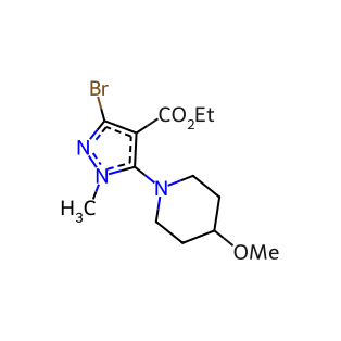 CCOC(=O)c1c(Br)nn(C)c1N1CCC(OC)CC1